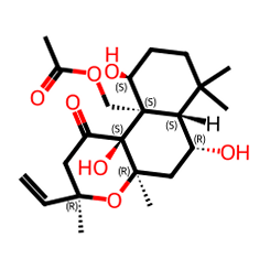 C=C[C@@]1(C)CC(=O)[C@]2(O)[C@@]3(COC(C)=O)[C@@H](O)CCC(C)(C)[C@@H]3[C@H](O)C[C@@]2(C)O1